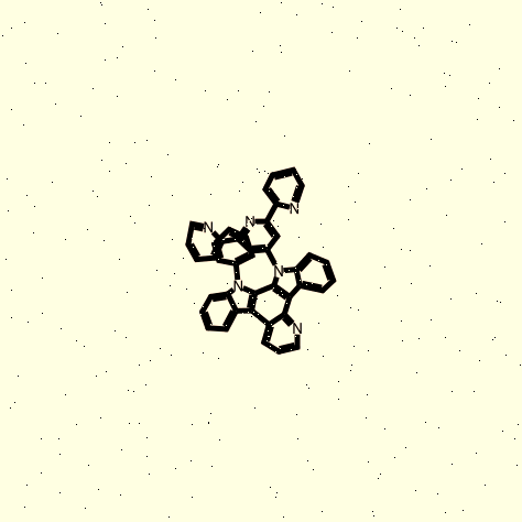 c1ccc(-n2c3ccccc3c3c4cccnc4c4c5ccccc5n(-c5cc(-c6ccccn6)nc(-c6ccccn6)c5)c4c32)cc1